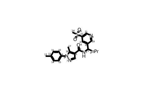 CCCC(NC(=O)c1cnn(-c2ccc(C)cc2)c1C)c1cncc(S(C)(=O)=O)c1